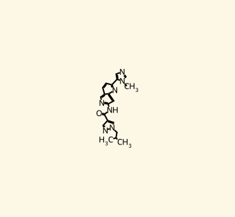 CC(C)Cn1cc(C(=O)Nc2cc3nc(-c4cncn4C)ccc3cn2)cn1